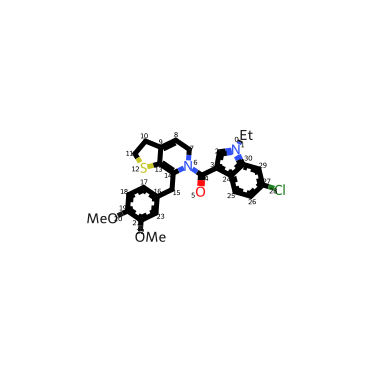 CCn1cc(C(=O)N2CC=C3CCSC3=C2Cc2ccc(OC)c(OC)c2)c2ccc(Cl)cc21